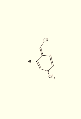 CN1C=CC(=CC#N)C=C1.I